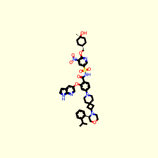 CC(C)c1ccccc1[C@@H]1COCCN1C1CC2(CCN(c3ccc(C(=O)NS(=O)(=O)c4cnc(OC[C@H]5CC[C@](C)(O)CC5)c([N+](=O)[O-])c4)c(Oc4cnc5[nH]ccc5c4)c3)CC2)C1